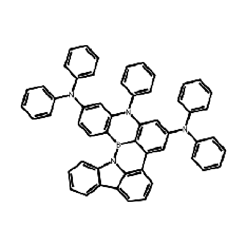 c1ccc(N(c2ccccc2)c2ccc3c(c2)N(c2ccccc2)c2cc(N(c4ccccc4)c4ccccc4)cc4c2B3n2c3ccccc3c3cccc-4c32)cc1